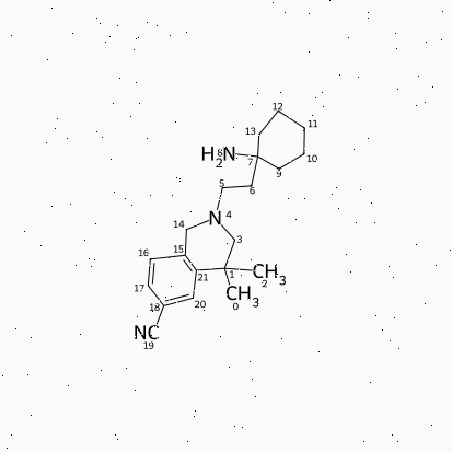 CC1(C)CN(CCC2(N)CCCCC2)Cc2ccc(C#N)cc21